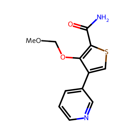 COCOc1c(-c2cccnc2)csc1C(N)=O